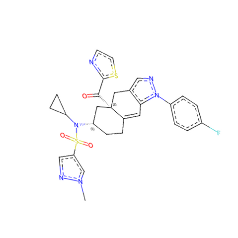 Cn1cc(S(=O)(=O)N(C2CC2)[C@H]2CCC3=Cc4c(cnn4-c4ccc(F)cc4)C[C@]3(C(=O)c3nccs3)C2)cn1